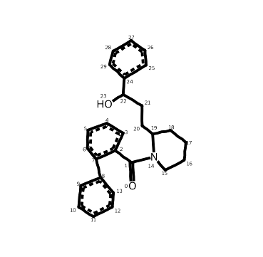 O=C(c1ccccc1-c1ccccc1)N1CCCCC1CCC(O)c1ccccc1